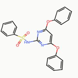 O=S(=O)(Nc1nc(Oc2ccccc2)cc(Oc2ccccc2)n1)c1ccccc1